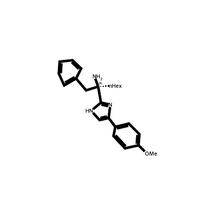 CCCCCC[C@@](N)(Cc1ccccc1)c1nc(-c2ccc(OC)cc2)c[nH]1